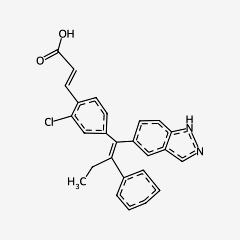 CCC(=C(c1ccc(C=CC(=O)O)c(Cl)c1)c1ccc2[nH]ncc2c1)c1ccccc1